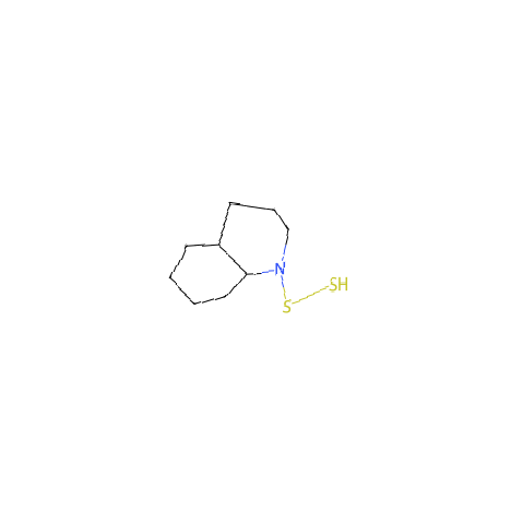 SSN1CCCC2CCCCC21